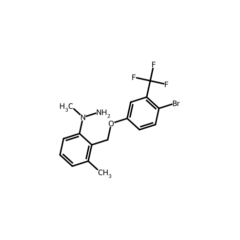 Cc1cccc(N(C)N)c1COc1ccc(Br)c(C(F)(F)F)c1